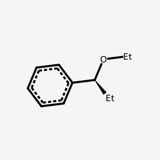 CCO[C@@H](CC)c1ccccc1